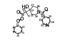 CC(C)(C(=O)OOc1ccccc1)C1(O)CCN(C(=O)c2ccncc2)CC1